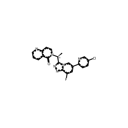 C[C@@H](c1nnc2c(F)cc(-c3ccc(Cl)cn3)cn12)n1ccc2ncccc2c1=O